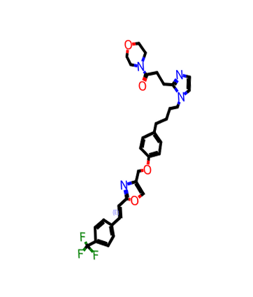 O=C(CCc1nccn1CCCCc1ccc(OCc2coc(/C=C/c3ccc(C(F)(F)F)cc3)n2)cc1)N1CCOCC1